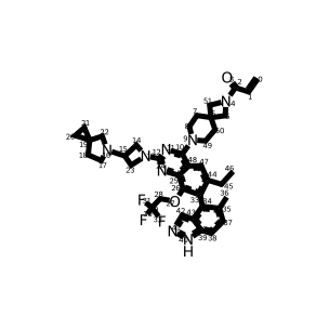 C=CC(=O)N1CC2(CCN(c3nc(N4CC(N5CCC6(CC6)C5)C4)nc4c(OCC(F)(F)F)c(-c5c(C)ccc6[nH]ncc56)c(CC)cc34)CC2)C1